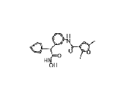 Cc1cc(C(=O)Nc2cccc(C(C(=O)NO)c3ccccc3)c2)c(C)o1